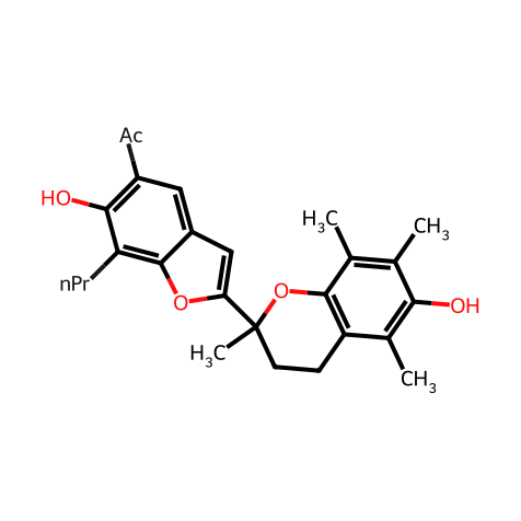 CCCc1c(O)c(C(C)=O)cc2cc(C3(C)CCc4c(C)c(O)c(C)c(C)c4O3)oc12